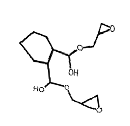 OC(OCC1CO1)C1CCCCC1C(O)OCC1CO1